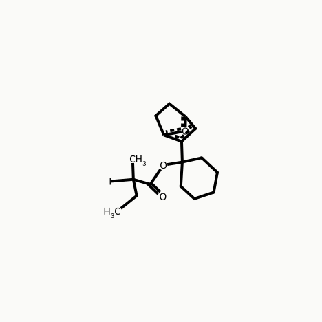 CCC(C)(I)C(=O)OC1(c2cc3oc2CC3)CCCCC1